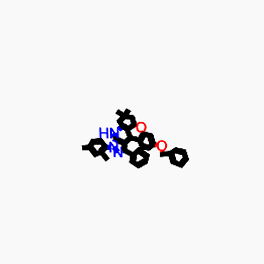 Cc1ccc(-n2nc(-c3ccccc3)c3c2NC2=C(C(=O)CC(C)(C)C2)C3c2ccc(OCc3ccccc3)cc2)c(C)c1